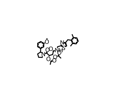 COc1cccc(C2CCCN2C(=O)[C@H](OC(C)=O)[C@@H](OC(C)=O)C(=O)NCc2nc(Cc3c(C)cccc3C)cs2)c1